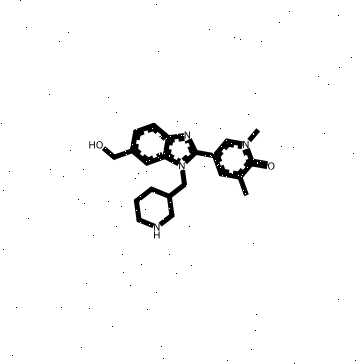 Cc1cc(-c2nc3ccc(CO)cc3n2CC2CCCNC2)cn(C)c1=O